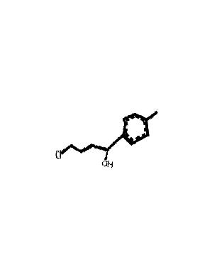 Cc1ccc([C@@H](O)CCCCl)cc1